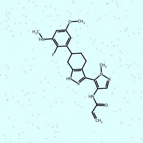 C=CC(=O)Nc1cnn(C)c1-c1n[nH]c2c1CCC(c1cc(OC)cc(NC)c1F)C2